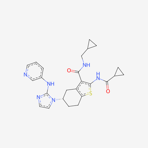 O=C(NCC1CC1)c1c(NC(=O)C2CC2)sc2c1C[C@@H](n1ccnc1Nc1cccnc1)CC2